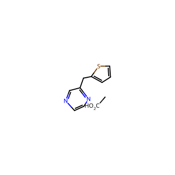 CC(=O)O.c1csc(Cc2cnccn2)c1